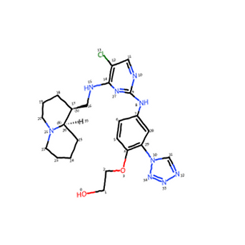 OCCOc1ccc(Nc2ncc(Cl)c(NC[C@@H]3CCCN4CCCC[C@H]34)n2)cc1-n1cnnn1